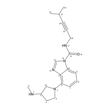 CNC1CCN(c2cccc3c2ncn3C(=O)NCC#CC(C)C)C1